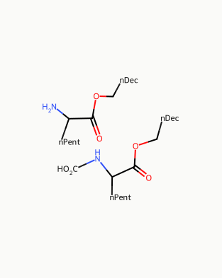 CCCCCCCCCCCOC(=O)C(CCCCC)NC(=O)O.CCCCCCCCCCCOC(=O)C(N)CCCCC